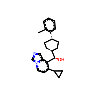 Cc1ccccc1[C@H]1CC[C@H]([C@@H](O)c2c(C3CC3)ccn3cncc23)CC1